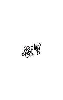 c1ccc(-c2nc(-c3ccccc3)nc(-c3ccc(-c4ccccc4-c4nc5ccccc5c5oc6c7ccccc7n(-c7ccccc7)c6c45)cc3)n2)cc1